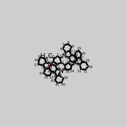 Cc1cc(-n2c3ccccc3c3ccccc32)c(-c2cc(-n3c4ccccc4c4ccccc43)ccc2-n2c3ccccc3c3ccccc32)cc1-n1c2ccccc2c2ccccc21